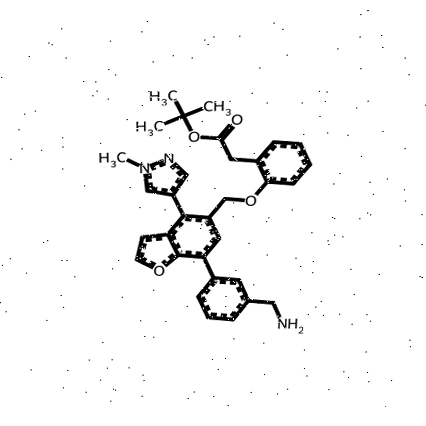 Cn1cc(-c2c(COc3ccccc3CC(=O)OC(C)(C)C)cc(-c3cccc(CN)c3)c3occc23)cn1